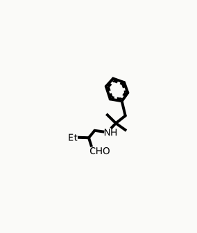 CCC(C=O)CNC(C)(C)Cc1ccccc1